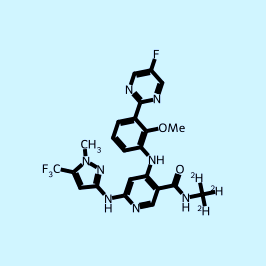 [2H]C([2H])([2H])NC(=O)c1cnc(Nc2cc(C(F)(F)F)n(C)n2)cc1Nc1cccc(-c2ncc(F)cn2)c1OC